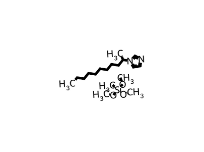 CCCCCCCCCC(C)n1ccnc1.CO[Si](C)(OC)OC